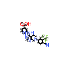 N#Cc1ccc(N2CCc3c(ncnc3Nc3cc(C(=O)O)ccn3)C2)cc1C(F)(F)F